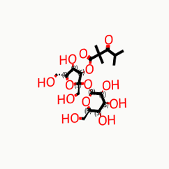 CC(C)C(=O)C(C)(C)C(=O)O[C@H]1[C@H](O)[C@@H](CO)O[C@@]1(CO)O[C@H]1O[C@H](CO)[C@@H](O)[C@H](O)[C@H]1O